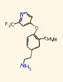 COc1cc(CCN)ccc1Oc1ccnc(C(F)(F)F)c1